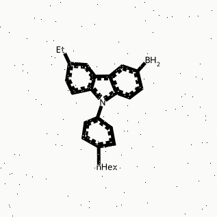 Bc1ccc2c(c1)c1cc(CC)ccc1n2-c1ccc(CCCCCC)cc1